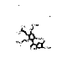 COCOc1cc(OC)c(/C(=C/C=O)c2ccc(OC)c(F)c2)c(OCOC)c1CC=C(C)C